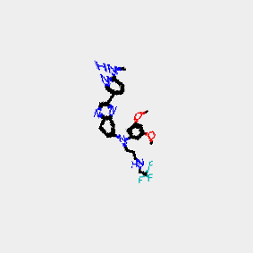 CNc1ccc(-c2cnc3ccc(N(CCCNCC(F)(F)F)c4cc(OC)cc(OC)c4)cc3n2)cn1